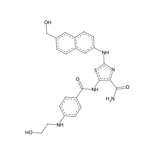 NC(=O)c1nc(Nc2ccc3cc(CO)ccc3c2)sc1NC(=O)c1ccc(NCCO)cc1